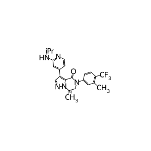 Cc1cc(N2C[C@H](C)n3ncc(-c4ccnc(NC(C)C)c4)c3C2=O)ccc1C(F)(F)F